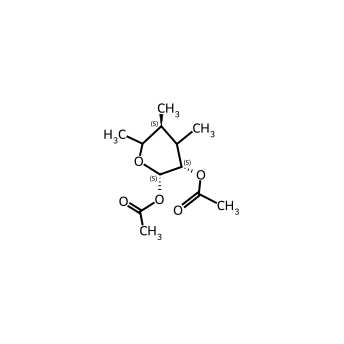 CC(=O)O[C@@H]1OC(C)[C@@H](C)C(C)[C@@H]1OC(C)=O